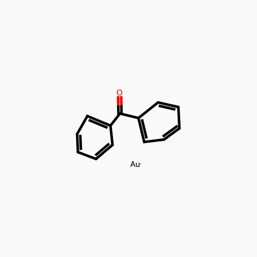 O=C(c1ccccc1)c1ccccc1.[Au]